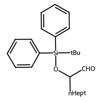 CCCCCCCC(C=O)O[Si](c1ccccc1)(c1ccccc1)C(C)(C)C